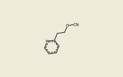 N#COCCc1ccccn1